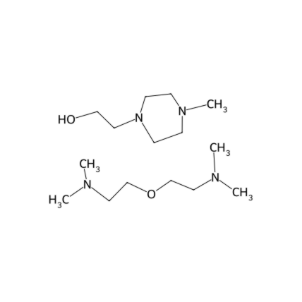 CN(C)CCOCCN(C)C.CN1CCN(CCO)CC1